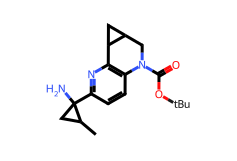 CC1CC1(N)c1ccc2c(n1)C1CC1CN2C(=O)OC(C)(C)C